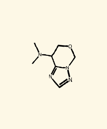 CN(C)C1COCn2ncnc21